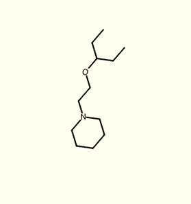 CCC(CC)OCCN1CCCCC1